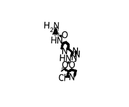 C[C@@H](OC(=O)Nc1c(-c2ccc(NC(=O)[C@@H]3C[C@@H]3N)cn2)nnn1C)c1cccnc1Cl